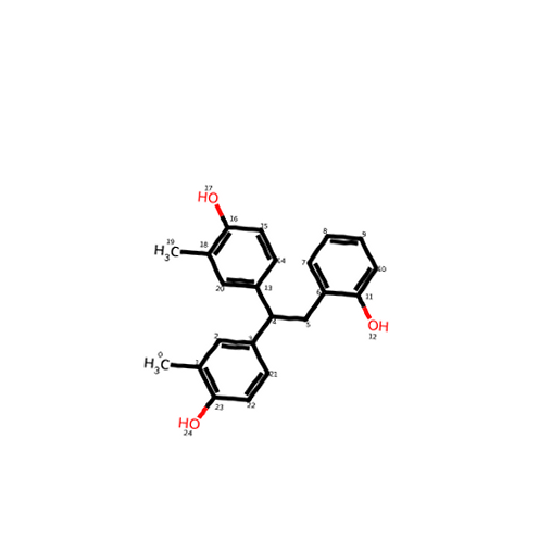 Cc1cc(C(Cc2ccccc2O)c2ccc(O)c(C)c2)ccc1O